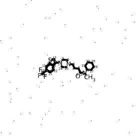 CN(C(=O)CCCN1CCN(c2csc3cc(C(F)(F)F)ccc23)CC1)C1CCCCC1